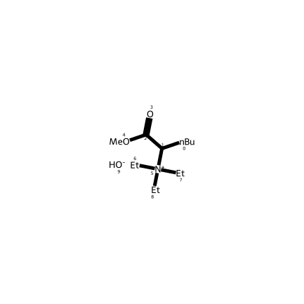 CCCCC(C(=O)OC)[N+](CC)(CC)CC.[OH-]